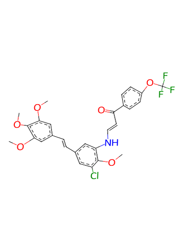 COc1cc(C=Cc2cc(Cl)c(OC)c(NC=CC(=O)c3ccc(OC(F)(F)F)cc3)c2)cc(OC)c1OC